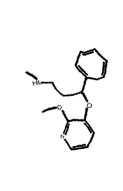 CNCCC(Oc1cccnc1OC)c1ccccc1